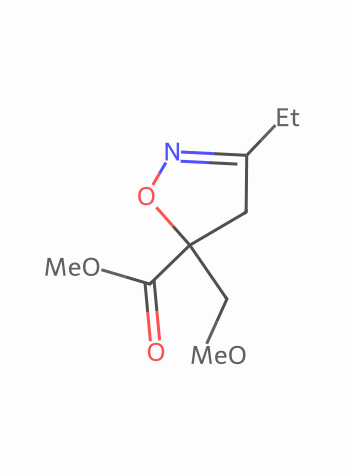 CCC1=NOC(COC)(C(=O)OC)C1